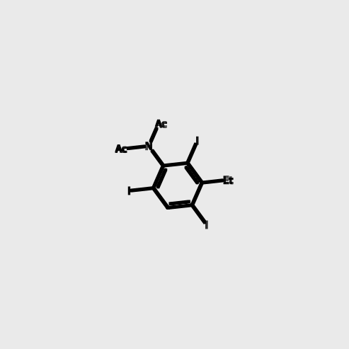 CCc1c(I)cc(I)c(N(C(C)=O)C(C)=O)c1I